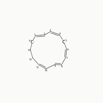 [CH]1/C=C/C=C\C\C=C/C=C/C=C\CC1